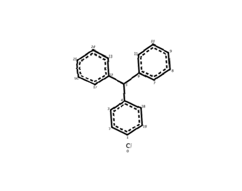 [C].c1ccc(C(c2ccccc2)c2ccccc2)cc1